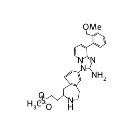 COCc1ccccc1C1=CC=CN2C1=NC(N)N2c1ccc2c(c1)CCNC(CCS(C)(=O)=O)C2